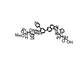 COC(=O)N[C@H](C(=O)N1C[Si](C)(C)C[C@H]1c1ncc(-c2ccc(-c3ccc4c(ccc5nc([C@@H]6CCCN6C(=O)[C@@H](NC(=O)CO)C(C)C)[nH]c54)c3)cc2-c2ccncc2)[nH]1)C(C)C